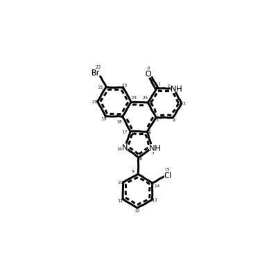 O=c1[nH]ccc2c3[nH]c(-c4ccccc4Cl)nc3c3ccc(Br)cc3c12